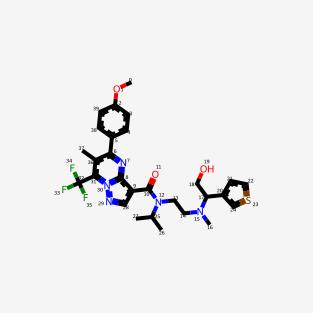 COc1ccc(-c2nc3c(C(=O)N(CCN(C)C(CO)c4ccsc4)C(C)C)cnn3c(C(F)(F)F)c2C)cc1